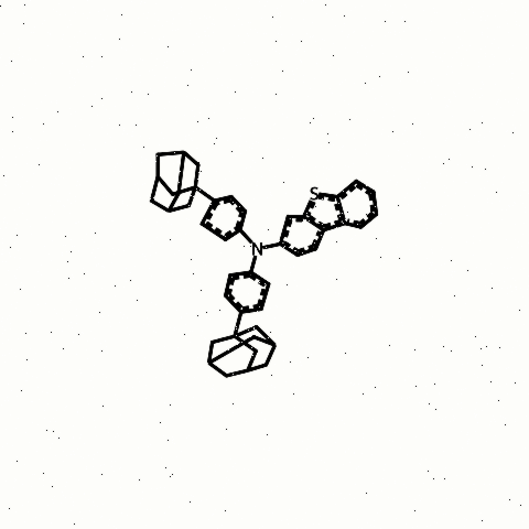 c1ccc2c(c1)sc1cc(N(c3ccc(C45CC6CC(CC(C6)C4)C5)cc3)c3ccc(C45CC6CC(CC(C6)C4)C5)cc3)ccc12